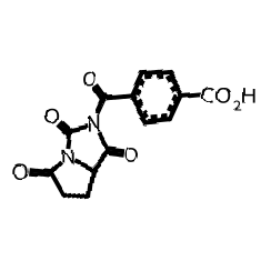 O=C(O)c1ccc(C(=O)N2C(=O)C3CCC(=O)N3C2=O)cc1